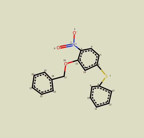 O=[N+]([O-])c1ccc(Sc2ccccc2)cc1OCc1ccccc1